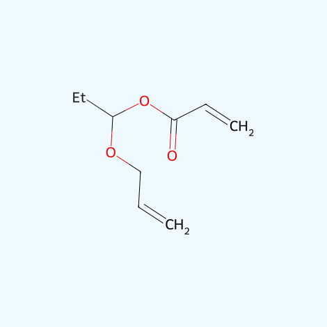 C=CCOC(CC)OC(=O)C=C